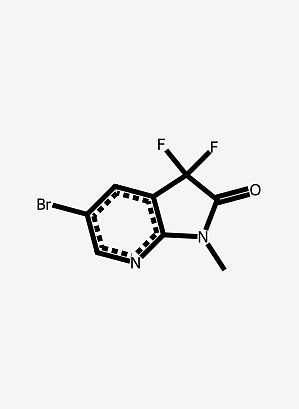 CN1C(=O)C(F)(F)c2cc(Br)cnc21